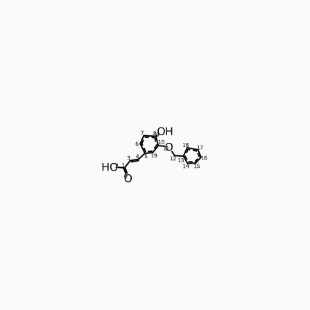 O=C(O)/C=C/c1ccc(O)c(OCc2ccccc2)c1